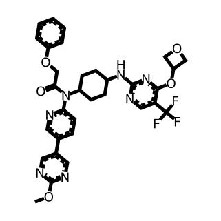 COc1ncc(-c2ccc(N(C(=O)COc3ccccc3)C3CCC(Nc4ncc(C(F)(F)F)c(OC5COC5)n4)CC3)nc2)cn1